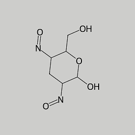 O=NC1CC(N=O)C(CO)OC1O